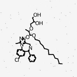 CCCCCCCCCCCCOC(=O)C(C)OCC(O)CO.Cc1nnc2n1-c1ccc(Cl)cc1C(c1ccccc1)=NC2